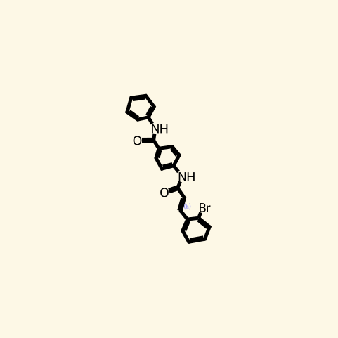 O=C(/C=C/c1ccccc1Br)Nc1ccc(C(=O)Nc2ccccc2)cc1